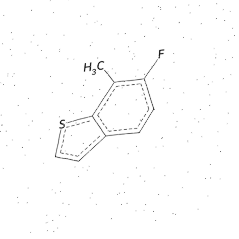 Cc1c(F)ccc2ccsc12